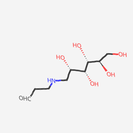 O=CCCNC[C@H](O)[C@@H](O)[C@H](O)[C@H](O)CO